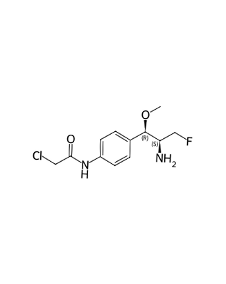 CO[C@H](c1ccc(NC(=O)CCl)cc1)[C@H](N)CF